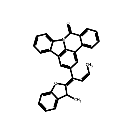 C/C=C\C(=C1\Oc2ccccc2C1C)c1cc2c3ccccc3c(=O)n3c4ccccc4c(c1)c23